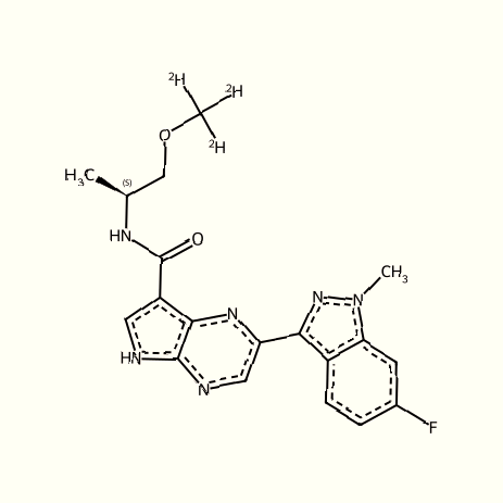 [2H]C([2H])([2H])OC[C@H](C)NC(=O)c1c[nH]c2ncc(-c3nn(C)c4cc(F)ccc34)nc12